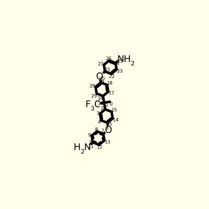 CC(C1C=CC(Oc2ccc(N)cc2)=CC1)(C1C=CC(OC2C=CC(N)=CC2)=CC1)C(F)(F)F